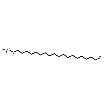 CCCCCCCCCCCCCCCCCCCNC